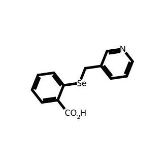 O=C(O)c1ccccc1[Se]Cc1cccnc1